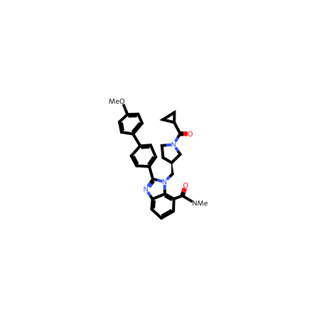 CNC(=O)c1cccc2nc(-c3ccc(-c4ccc(OC)cc4)cc3)n(C[C@H]3CCN(C(=O)C4CC4)C3)c12